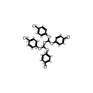 Clc1ccc(OC(Oc2ccc(Cl)cc2)OC(Oc2ccc(Cl)cc2)Oc2ccc(Cl)cc2)cc1